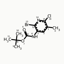 Cc1cc(NC(=O)OC(C)(C)C)c(Br)nc1Cl